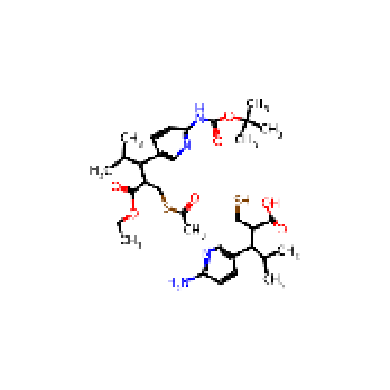 CC(C)C(c1ccc(N)nc1)C(CS)C(=O)O.CCOC(=O)C(CSC(C)=O)C(c1ccc(NC(=O)OC(C)(C)C)nc1)C(C)C